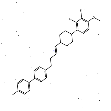 COc1ccc(C2CCC(/C=C/CCc3ccc(-c4ccc(C)cc4)cc3)CC2)c(F)c1F